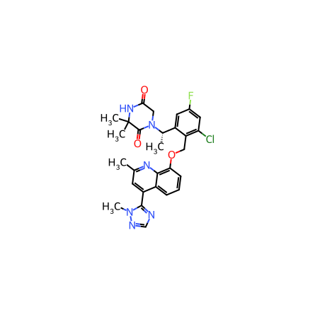 Cc1cc(-c2ncnn2C)c2cccc(OCc3c(Cl)cc(F)cc3[C@H](C)N3CC(=O)NC(C)(C)C3=O)c2n1